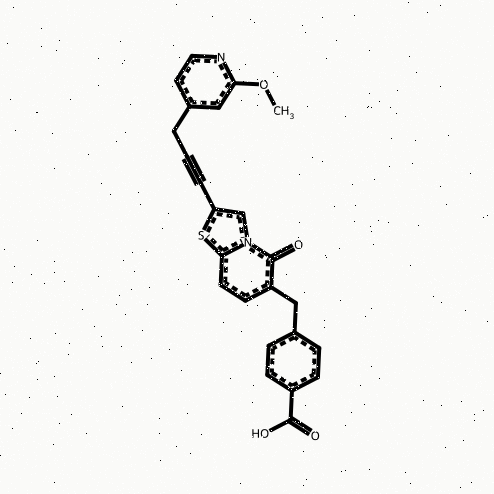 COc1cc(CC#Cc2cn3c(=O)c(Cc4ccc(C(=O)O)cc4)ccc3s2)ccn1